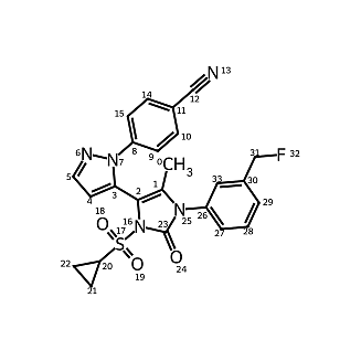 Cc1c(-c2ccnn2-c2ccc(C#N)cc2)n(S(=O)(=O)C2CC2)c(=O)n1-c1cccc(CF)c1